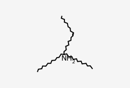 CCCCCCCC/C=C\CCCCCCCC(N)(CCCCCCCCCCCC)CCCCCCCCCCCC